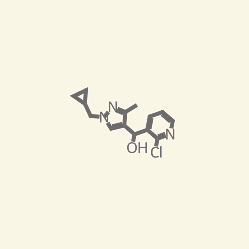 Cc1nn(CC2CC2)cc1C(O)c1cccnc1Cl